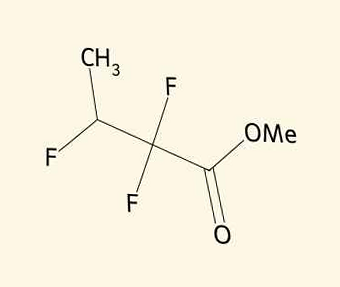 COC(=O)C(F)(F)C(C)F